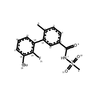 Cc1ccc(C(=O)NS(C)(=O)=O)cc1-c1cccc(C(C)(C)C)c1F